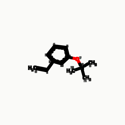 C=Cc1cccc(O[Si](C)(C)C)c1